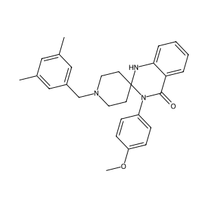 COc1ccc(N2C(=O)c3ccccc3NC23CCN(Cc2cc(C)cc(C)c2)CC3)cc1